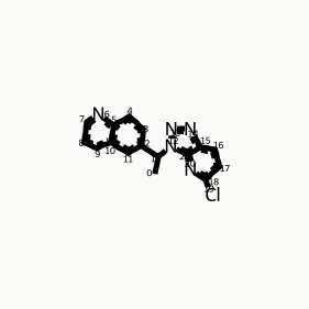 CC(c1ccc2ncccc2c1)n1nnc2ccc(Cl)nc21